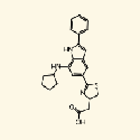 O=C(O)CC1CSC(c2cc(NC3CCCC3)c3[nH]c(-c4ccccc4)cc3c2)=N1